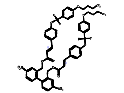 O=C(/C=C/c1ccc(OC(F)(F)c2ccc(OCCCC(F)(F)F)cc2)cc1)OCc1cc([N+](=O)[O-])ccc1-c1ccc([N+](=O)[O-])cc1COC(=O)/C=C/c1ccc(OC(F)(F)c2ccc(OCCCC(F)(F)F)cc2)cc1